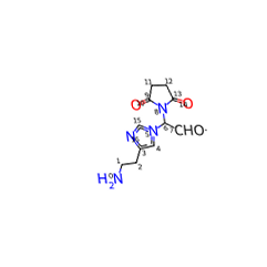 NCCc1cn(C([C]=O)N2C(=O)CCC2=O)cn1